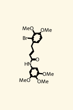 COc1cc(NC(=O)C=CCc2ccc(OC)c(OC)c2Br)cc(OC)c1OC